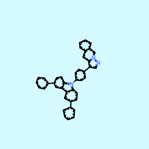 c1ccc(-c2ccc3c(c2)c2cc(-c4ccccc4)ccc2n3-c2ccc(-c3cnn4cc5ccccc5cc34)cc2)cc1